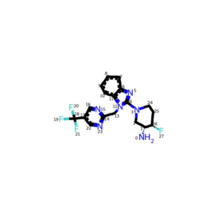 N[C@@H]1CN(c2nc3ccccc3n2Cc2ncc(C(F)(F)F)cn2)CC[C@H]1F